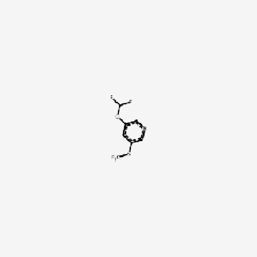 FC(F)Oc1[c]ncc(SC(F)(F)F)c1